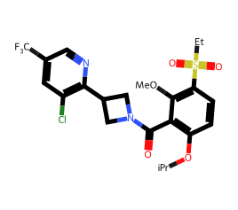 CCS(=O)(=O)c1ccc(OC(C)C)c(C(=O)N2CC(c3ncc(C(F)(F)F)cc3Cl)C2)c1OC